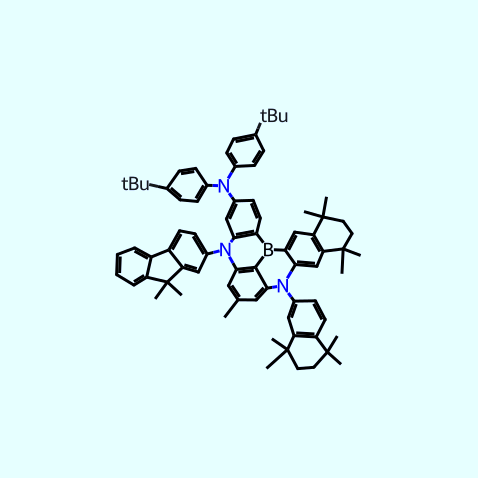 Cc1cc2c3c(c1)N(c1ccc4c(c1)C(C)(C)CCC4(C)C)c1cc4c(cc1B3c1ccc(N(c3ccc(C(C)(C)C)cc3)c3ccc(C(C)(C)C)cc3)cc1N2c1ccc2c(c1)C(C)(C)c1ccccc1-2)C(C)(C)CCC4(C)C